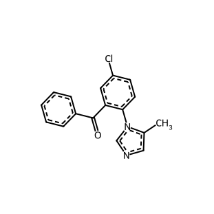 Cc1cncn1-c1ccc(Cl)cc1C(=O)c1ccccc1